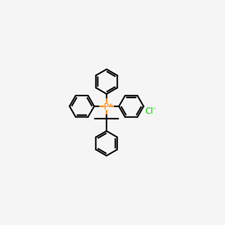 CC(C)(c1ccccc1)[P+](c1ccccc1)(c1ccccc1)c1ccccc1.[Cl-]